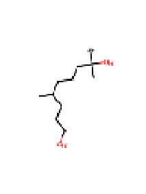 CCC(C)(O)CCCC(C)CCCO